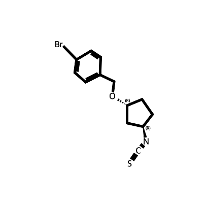 S=C=N[C@@H]1CC[C@@H](OCc2ccc(Br)cc2)C1